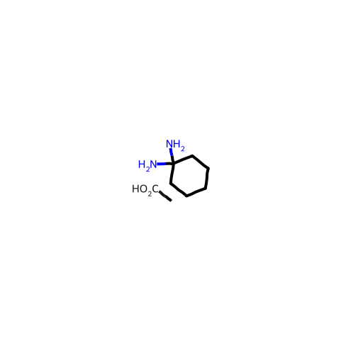 CC(=O)O.NC1(N)CCCCC1